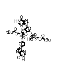 CC(C)(C)C(=O)OCSP(=O)(O)OC[C@H]1O[C@@H](n2cnc3c(=O)[nH]cnc32)[C@H](F)C1OP(=O)(OC[C@@H]1CC[C@H](n2cnc3c(=O)[nH]cnc32)O1)SCOC(=O)C(C)(C)C